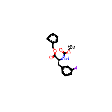 CC(C)(C)OC(=O)N[C@@H](Cc1cccc(I)c1)C(=O)OCc1ccccc1